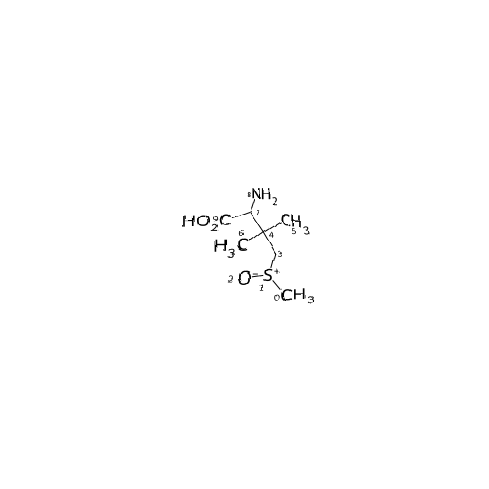 C[S+]([O-])CC(C)(C)C(N)C(=O)O